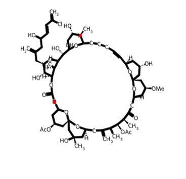 C=C(Cl)/C=C/C(O)CC(=C)C[C@H]1O[C@@H]2[C@H](C)[C@@H](OC(=O)C[C@H]3C[C@H](OC(C)=O)C[C@@]4(C[C@@](C)(O)C[C@H](CC(=C)C(C)[C@H](OC(C)=O)[C@H](C)C(=O)C[C@@H]5C[C@H](OC)C[C@@]6(C[C@@H](O)C[C@H](/C=C\CCC[C@H]7O[C@](O)(C[C@H](O)[C@H]7C)[C@H]2O)O6)O5)O4)O3)[C@@H]1O